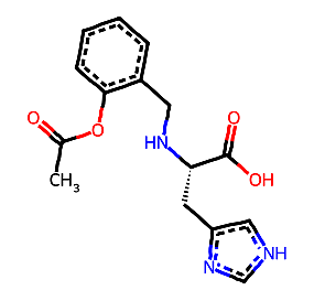 CC(=O)Oc1ccccc1CN[C@@H](Cc1c[nH]cn1)C(=O)O